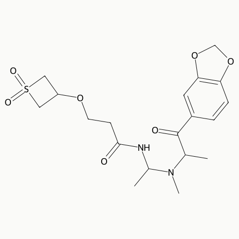 CC(NC(=O)CCOC1CS(=O)(=O)C1)N(C)C(C)C(=O)c1ccc2c(c1)OCO2